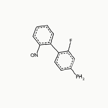 O=Nc1ccccc1-c1ccc(P)cc1F